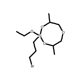 CCO[Si]1(CCCBr)OC(C)COCC(C)O1